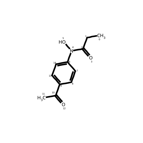 CCC(=O)N(O)c1ccc(C(C)=O)cc1